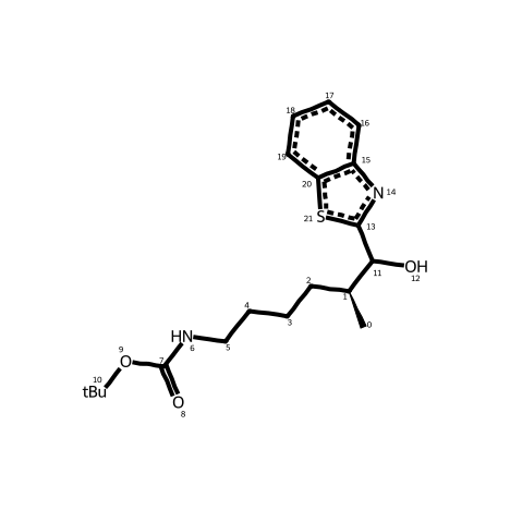 C[C@@H](CCCCNC(=O)OC(C)(C)C)C(O)c1nc2ccccc2s1